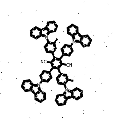 Cc1cc(-c2c(C#N)c(-c3ccc(-n4c5ccccc5c5ccccc54)cc3)c(-c3ccc(-n4c5ccccc5c5ccccc54)c(C)c3)c(C#N)c2-c2ccc(-n3c4ccccc4c4ccccc43)cc2)ccc1-n1c2ccccc2c2ccccc21